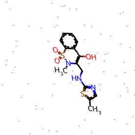 Cc1cnc(NCC2=C(O)c3ccccc3S(=O)(=O)N2C)s1